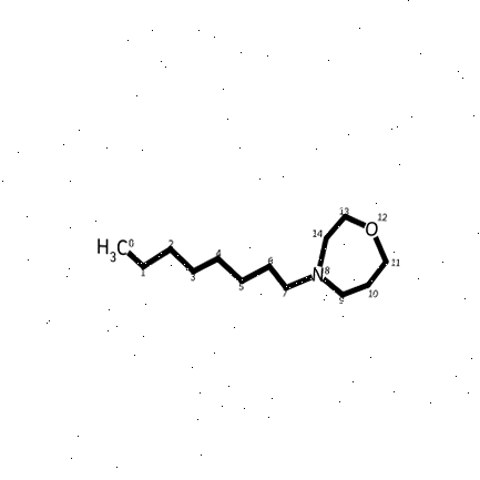 CCCCCCCCN1CCCOCC1